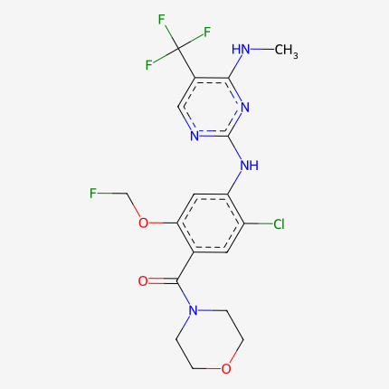 CNc1nc(Nc2cc(OCF)c(C(=O)N3CCOCC3)cc2Cl)ncc1C(F)(F)F